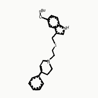 CCCCOc1ccc2[nH]cc(CSCCN3CC=C(c4ccccc4)CC3)c2c1